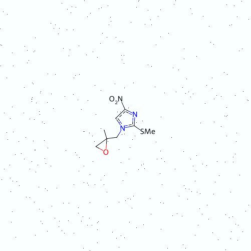 CSc1nc([N+](=O)[O-])cn1CC1(C)CO1